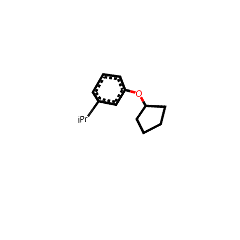 CC(C)c1cccc(OC2CCCC2)c1